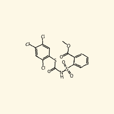 COC(=O)c1ccccc1S(=O)(=O)NC(=O)Sc1cc(Cl)c(Cl)cc1Cl